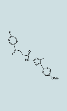 COc1ccc(-c2nc(NC(=O)CCC(=O)c3ccc(F)cc3)sc2C)cc1